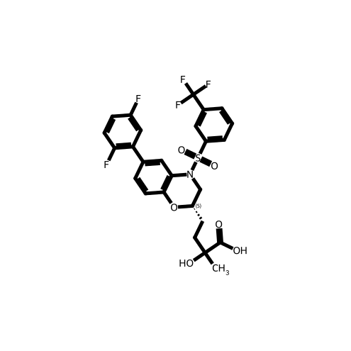 CC(O)(CC[C@H]1CN(S(=O)(=O)c2cccc(C(F)(F)F)c2)c2cc(-c3cc(F)ccc3F)ccc2O1)C(=O)O